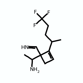 CC(CCC(F)(F)F)C1=CCC1(C=N)C(C)N